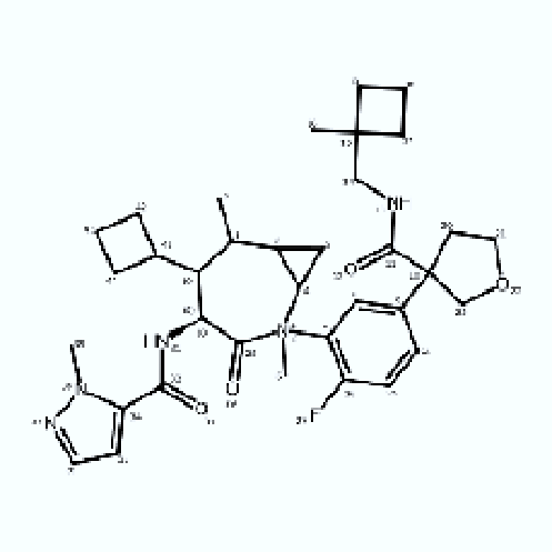 CC1C2CC2[N+](C)(c2cc(C3(C(=O)NCC4(C)CCC4)CCOC3)ccc2F)C(=O)[C@@H](NC(=O)c2ccnn2C)C1C1CCC1